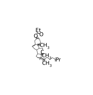 CCC(=O)O[C@H]1CC[C@@]2(C)C(=CCC3C2CC[C@@]2(C)C3CC[C@@H]2[C@H](C)CCCC(C)C)C1